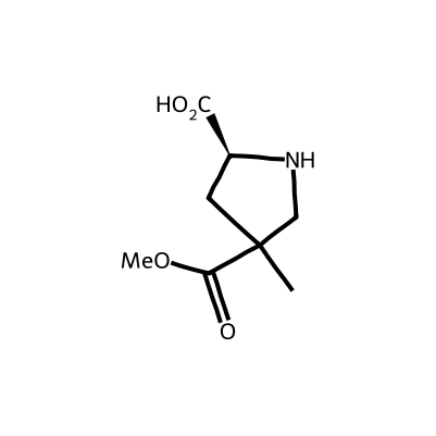 COC(=O)C1(C)CN[C@H](C(=O)O)C1